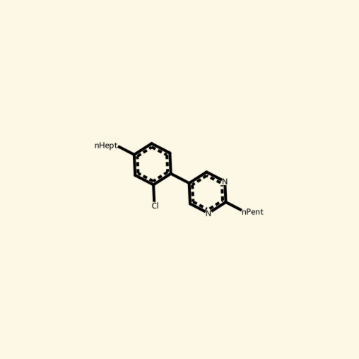 CCCCCCCc1ccc(-c2cnc(CCCCC)nc2)c(Cl)c1